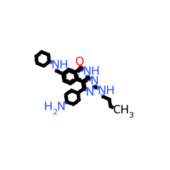 CCCCNc1nc(C2CCC(N)CC2)c2c(n1)[nH]c(=O)c1cc(CNC3CCCCC3)ccc12